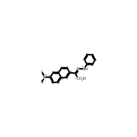 CCOC(=O)/C(=N\Nc1ccccc1)c1ccc2cc(N(C)C)ccc2c1